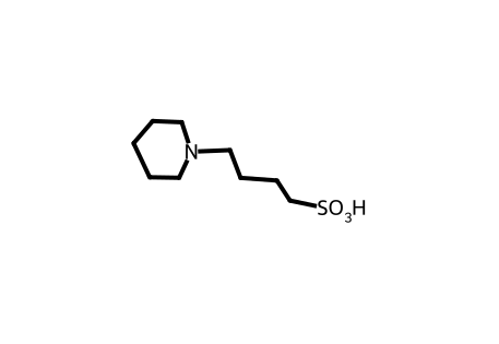 O=S(=O)(O)CCCCN1CCCCC1